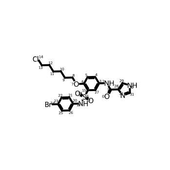 O=C(Nc1ccc(OCCCCCCCl)c(S(=O)(=O)Nc2ccc(Br)cc2)c1)c1c[nH]cn1